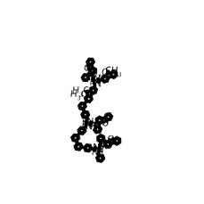 CC1(C)C2=C(CCC(c3cccc(-c4ccc(-c5nc(-c6ccc(-c7cccc(-c8cccc(-c9ccc(-c%10nc(-c%11ccccc%11)nc(-n%11c%12ccccc%12c%12c%13oc%14ccccc%14c%13ccc%12%11)n%10)cc9)c8)c7)cc6)nc(-n6c7ccccc7c7c8oc9ccccc9c8ccc76)n5)cc4)c3)=C2)c2ccc(-c3nc(-c4ccc5c(c4)C(C)(C)c4ccccc4-5)nc(-n4c5ccccc5c5c6oc7ccccc7c6ccc54)n3)cc21